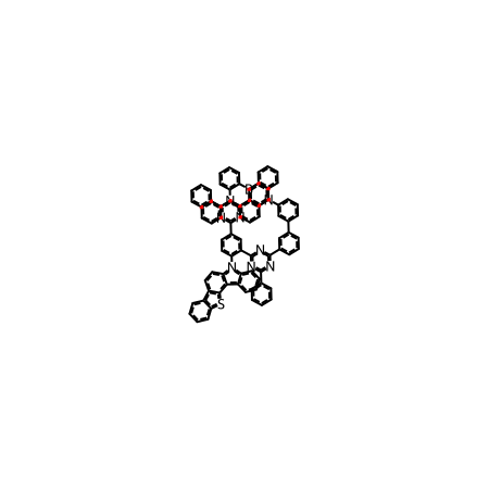 c1ccc(-c2cc(-c3ccccc3)nc(-c3ccc(-n4c5ccccc5c5c6sc7ccccc7c6ccc54)c(-c4nc(-c5ccccc5)nc(-c5cccc(-c6cccc(N7c8ccccc8B8c9ccccc9N(c9ccccc9)c9cccc7c98)c6)c5)n4)c3)n2)cc1